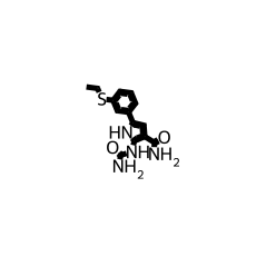 CCSc1cccc(-c2cc(C(N)=O)c(NC(N)=O)[nH]2)c1